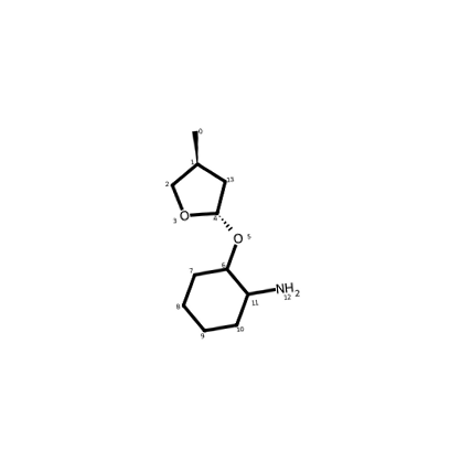 C[C@@H]1CO[C@@H](OC2CCCCC2N)C1